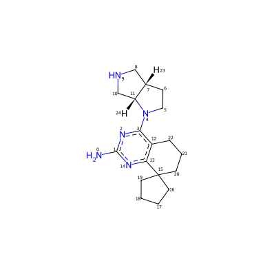 Nc1nc(N2CC[C@H]3CNC[C@H]32)c2c(n1)C1(CCCC1)CCC2